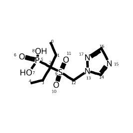 CCC(CC)(P(=O)(O)O)S(=O)(=O)Cn1cncn1